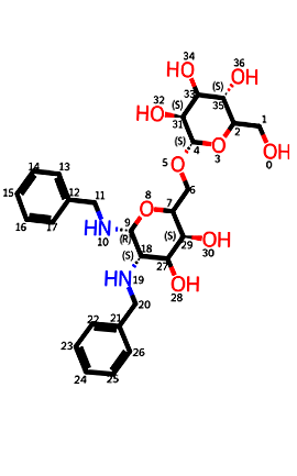 OCC1O[C@H](OCC2O[C@@H](NCc3ccccc3)[C@@H](NCc3ccccc3)C(O)[C@@H]2O)[C@@H](O)C(O)[C@@H]1O